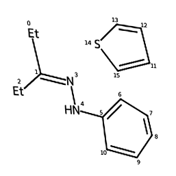 CCC(CC)=NNc1ccccc1.c1ccsc1